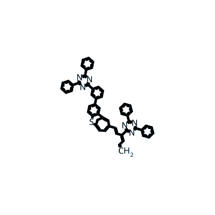 C=C/C=C(\C=C\C1=CC=C2CC(=C1)c1cc(-c3cccc(-c4nc(-c5ccccc5)nc(-c5ccccc5)n4)c3)ccc1S2)c1nc(-c2ccccc2)nc(-c2ccccc2)n1